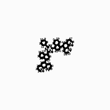 C1=Cc2c(-c3nc(-c4ccccc4)nc(-c4ccc(-c5cc6cccnc6c6ncccc56)c5ccccc45)n3)ccc(C3Cc4cccnc4-c4ncccc43)c2CC1